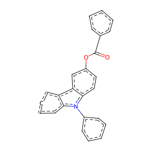 O=C(Oc1ccc2c(c1)c1ccccc1n2-c1ccccc1)c1ccccc1